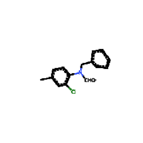 Cc1ccc(N([C]=O)Cc2ccccc2)c(Cl)c1